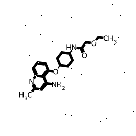 CCOCC(=O)N[C@H]1CC[C@H](Oc2cccc3nc(C)cc(N)c23)CC1